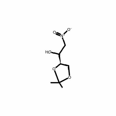 CC1(C)OC[C@H](C(O)C[N+](=O)[O-])O1